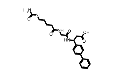 NC(=O)NCCCCC(=O)NCC(=O)NC(CC(=O)O)c1ccc(-c2ccccc2)cc1